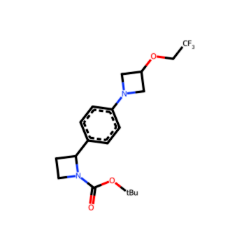 CC(C)(C)OC(=O)N1CCC1c1ccc(N2CC(OCC(F)(F)F)C2)cc1